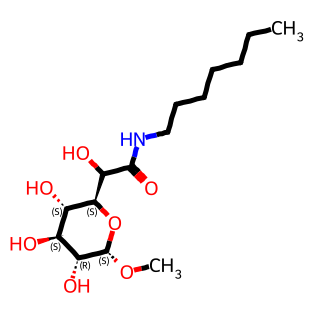 CCCCCCCNC(=O)C(O)[C@H]1O[C@H](OC)[C@H](O)[C@@H](O)[C@@H]1O